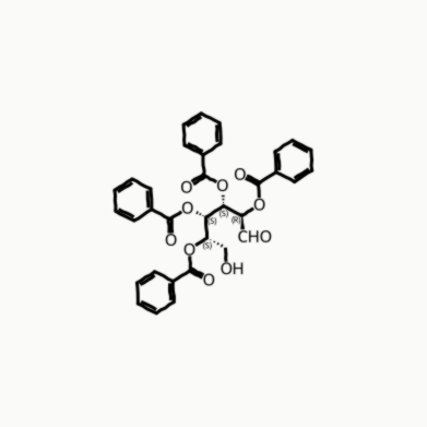 O=C[C@H](OC(=O)c1ccccc1)[C@@H](OC(=O)c1ccccc1)[C@@H](OC(=O)c1ccccc1)[C@H](CO)OC(=O)c1ccccc1